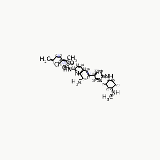 C=C/C=C\C(Cl)=C(/C)S(=O)(=O)Nc1ccc(/C=C/c2cnc(N[C@H]3CC[C@H](NC)CC3)nc2)c(CC)n1